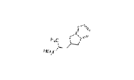 CC(CC1Cc2ccccc2C1)C(=O)O